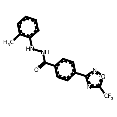 Cc1ccccc1NNC(=O)c1ccc(-c2noc(C(F)(F)F)n2)cc1